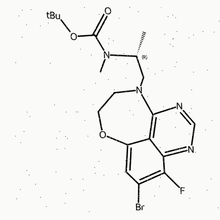 C[C@H](CN1CCOc2cc(Br)c(F)c3ncnc1c23)N(C)C(=O)OC(C)(C)C